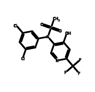 CS(=O)(=O)N(c1cc(Cl)cc(Cl)c1)c1cnc(C(F)(F)F)cc1O